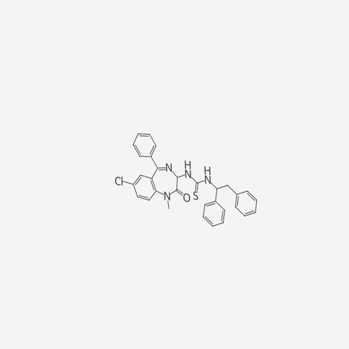 CN1C(=O)C(NC(=S)NC(Cc2ccccc2)c2ccccc2)N=C(c2ccccc2)c2cc(Cl)ccc21